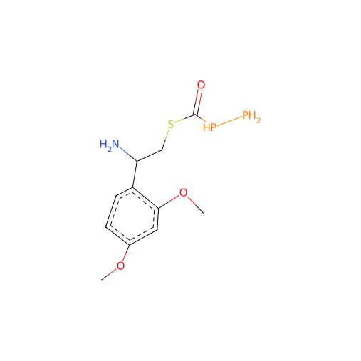 COc1ccc(C(N)CSC(=O)PP)c(OC)c1